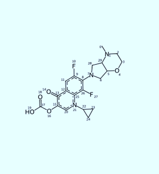 CN1CCOC2CN(c3c(F)cc4c(=O)c(OC(=O)O)cn(C5CC5)c4c3F)CC21